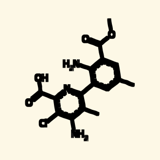 COC(=O)c1cc(C)cc(-c2nc(C(=O)O)c(Cl)c(N)c2C)c1N